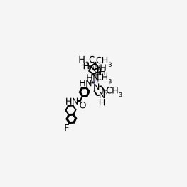 C[C@@H]1[C@@H](/N=C(\Nc2ccc(C(=O)NC3CCc4cc(F)ccc4C3)cc2)N2CCN[C@@H](C)C2)C[C@H]2C[C@@H]1C2(C)C